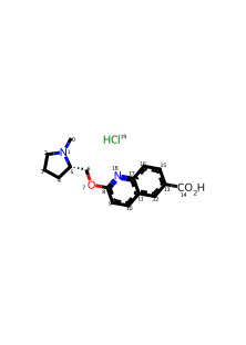 CN1CCC[C@H]1COc1ccc2cc(C(=O)O)ccc2n1.Cl